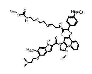 CCNc1ccc(C(Oc2cc3c(c4ccccc24)[C@H](CCl)CN3C(=O)c2cc3cc(OCCN(C)C)c(OC)cc3[nH]2)C(=O)NCCOCCOCCNC(=O)OC(C)(C)C)cc1